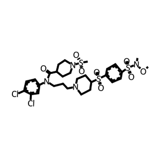 CON(C)S(=O)(=O)c1ccc(S(=O)(=O)C2CCN(CCCN(C(=O)C3CCN(S(C)(=O)=O)CC3)c3ccc(Cl)c(Cl)c3)CC2)cc1